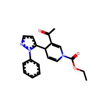 CCOC(=O)N1C=CC(c2ccnn2-c2ccccc2)C(C(C)=O)=C1